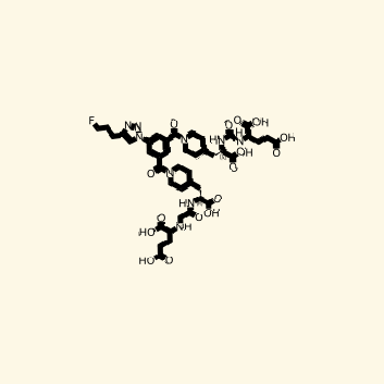 O=C(O)CCC(NCC(=O)N[C@H](CC1CCN(C(=O)c2cc(C(=O)N3CCC(C[C@H](NC(=O)NC(CCC(=O)O)C(=O)O)C(=O)O)CC3)cc(-n3cc(CCCF)nn3)c2)CC1)C(=O)O)C(=O)O